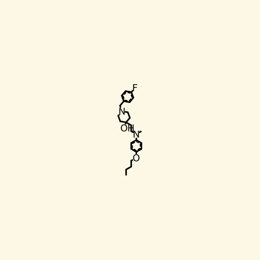 CCCCOc1ccc(N(C)CCC2(O)CCN(Cc3ccc(F)cc3)CC2)cc1